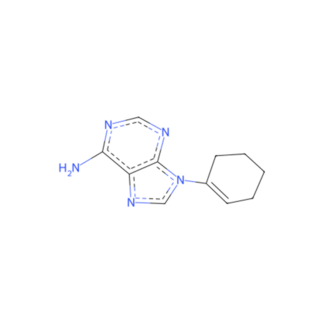 Nc1ncnc2c1ncn2C1=CCCCC1